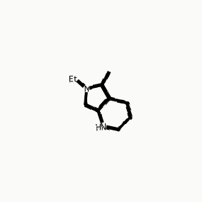 CCN1CC2NCCCC2C1C